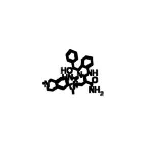 COc1cc2c(cc1Nc1ncc(C(N)=O)c(Nc3ccccc3C[C@H](O)c3ccccc3)n1)CN(C)CC2